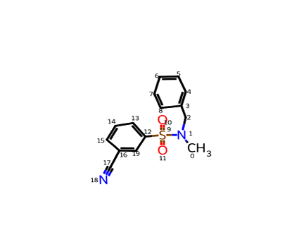 CN(Cc1ccccc1)S(=O)(=O)c1cccc(C#N)c1